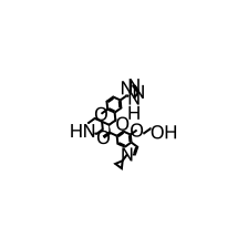 O=C(c1cc(OCCO)c2ccn(C3CC3)c2c1)[C@@H]1C(=O)c2cc(-c3nnn[nH]3)ccc2OC12CCNCC2